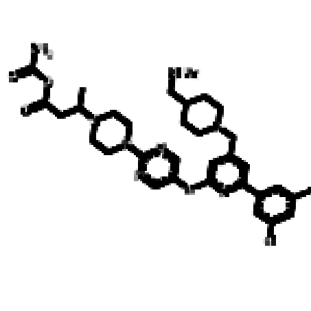 CC(=O)NCC1CCN(Cc2cc(Oc3cnc(N4CCN(C(C)CC(=O)OC(N)=O)CC4)nc3)nc(-c3cc(Cl)cc(Cl)c3)c2)CC1